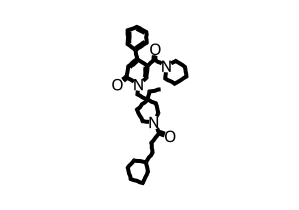 CCC1(Cn2cc(C(=O)N3CCCCC3)c(-c3ccccc3)cc2=O)CCN(C(=O)CCC2CCCCC2)CC1